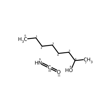 CCCCCCC(C)O.N=C=O